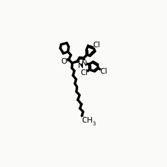 CCCCCCCCCCCCCCC(C(=O)CC1CCCCC1)c1cc(-c2ccc(Cl)cc2)n(-c2ccc(Cl)cc2Cl)n1